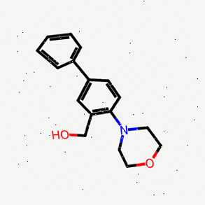 OCc1cc(-c2ccccc2)ccc1N1CCOCC1